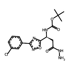 CC(C)(C)OC(=O)N[C@@H](CC(=O)NN)c1nc(-c2cccc(Cl)c2)no1